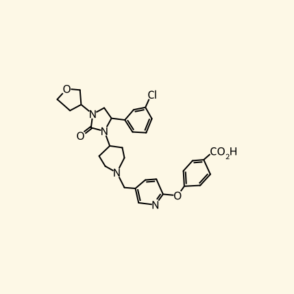 O=C(O)c1ccc(Oc2ccc(CN3CCC(N4C(=O)N(C5CCOC5)CC4c4cccc(Cl)c4)CC3)cn2)cc1